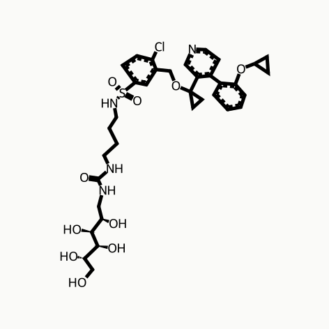 O=C(NCCCCNS(=O)(=O)c1ccc(Cl)c(COC2(c3cnccc3-c3ccccc3OC3CC3)CC2)c1)NC[C@@H](O)[C@H](O)[C@@H](O)[C@@H](O)CO